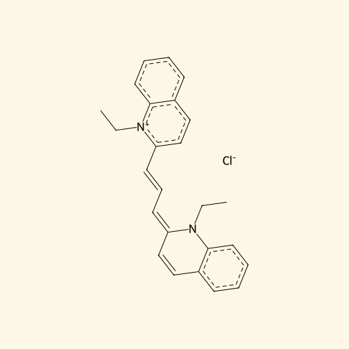 CCN1C(=CC=Cc2ccc3ccccc3[n+]2CC)C=Cc2ccccc21.[Cl-]